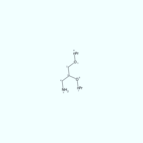 CCCOCC(CN)OCCC